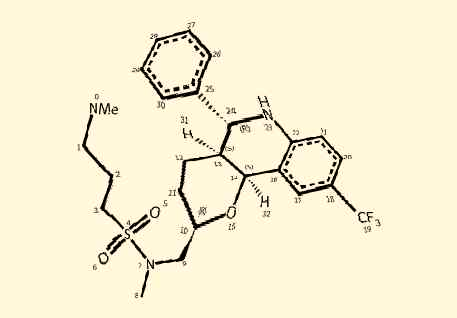 CNCCCS(=O)(=O)N(C)C[C@H]1CC[C@@H]2[C@H](O1)c1cc(C(F)(F)F)ccc1N[C@H]2c1ccccc1